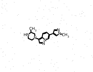 CC1CN(c2cnn3cc(-c4cnn(C)c4)ccc23)CCN1